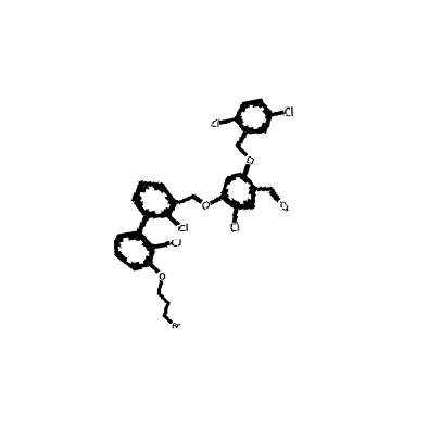 O=Cc1cc(Cl)c(OCc2cccc(-c3cccc(OCCCBr)c3Cl)c2Cl)cc1OCc1cc(Cl)ccc1Cl